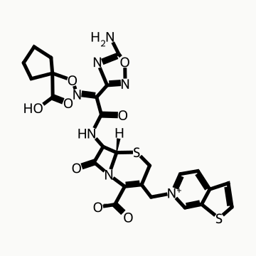 Nc1nc(C(=NOC2(C(=O)O)CCCC2)C(=O)NC2C(=O)N3C(C(=O)[O-])=C(C[n+]4ccc5ccsc5c4)CS[C@@H]23)no1